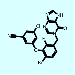 N#Cc1cc(Cl)cc(Oc2c(Br)ccc(Cn3cnc4nc[nH]c4c3=O)c2F)c1